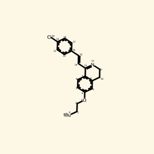 CC(C)(C)CCOc1ccc2c(c1)CCN=C2C=Cc1ccc(Cl)cc1